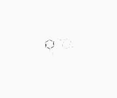 Cc1ccc(CN2CCN(C)CC2)cc1C